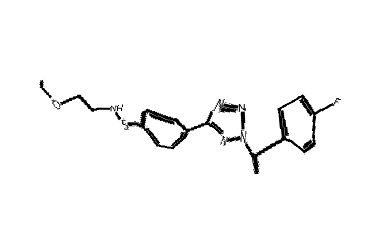 COCCNSc1ccc(-c2nnn(C(C)c3ccc(F)cc3)n2)cc1